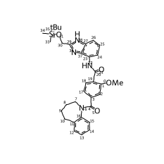 COc1cc(C(=O)N2CCCCc3ccccc32)ccc1C(=O)Nc1cccc2[nH]c(CO[Si](C)(C)C(C)(C)C)nc12